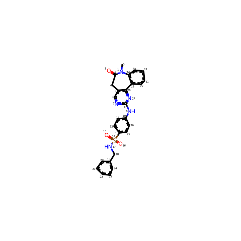 CN1C(=O)Cc2cnc(Nc3ccc(S(=O)(=O)NCc4ccccc4)cc3)nc2-c2ccccc21